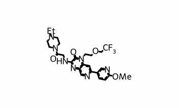 CCN1CCN(C(=O)CNc2nc3cnc(-c4ccc(OC)nc4)cc3n(CCOCC(F)(F)F)c2=O)CC1